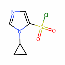 O=S(=O)(Cl)c1cncn1C1CC1